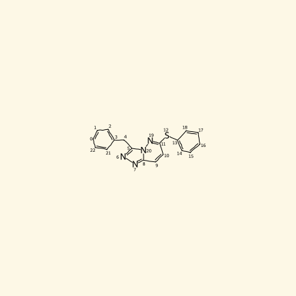 c1ccc(Cc2nnc3ccc(Sc4ccccc4)nn23)cc1